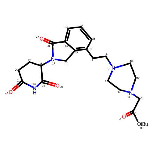 CC(C)COC(=O)CN1CCN(CCc2cccc3c2CN(C2CCC(=O)NC2=O)C3=O)CC1